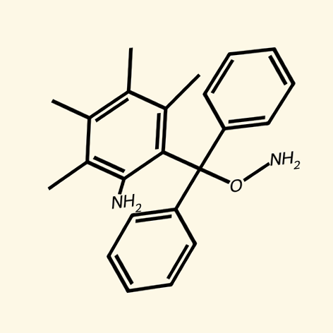 Cc1c(C)c(C)c(C(ON)(c2ccccc2)c2ccccc2)c(N)c1C